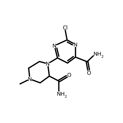 CN1CCN(c2cc(C(N)=O)nc(Cl)n2)C(C(N)=O)C1